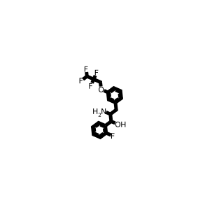 NC(Cc1cccc(OCC(F)(F)C(F)F)c1)C(O)c1ccccc1F